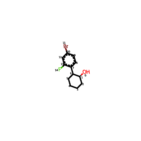 O[C@H]1CCCCC1c1ccc(Br)cc1F